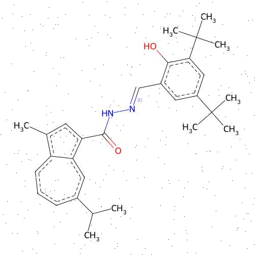 Cc1cc(C(=O)N/N=C/c2cc(C(C)(C)C)cc(C(C)(C)C)c2O)c2cc(C(C)C)cccc1-2